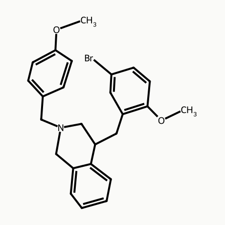 COc1ccc(CN2Cc3ccccc3C(Cc3cc(Br)ccc3OC)C2)cc1